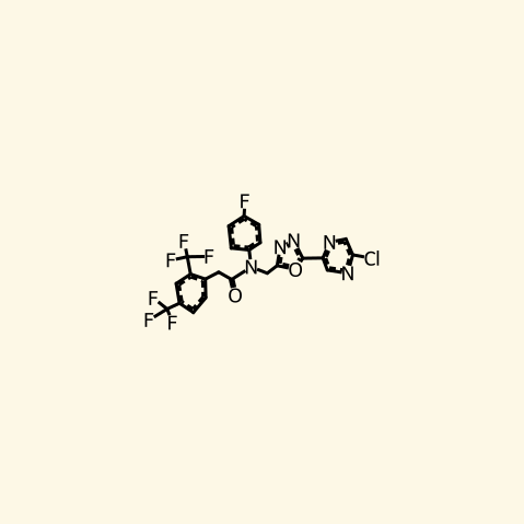 O=C(Cc1ccc(C(F)(F)F)cc1C(F)(F)F)N(Cc1nnc(-c2cnc(Cl)cn2)o1)c1ccc(F)cc1